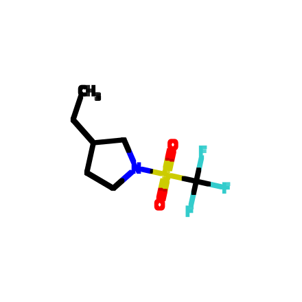 CCC1CCN(S(=O)(=O)C(F)(F)F)C1